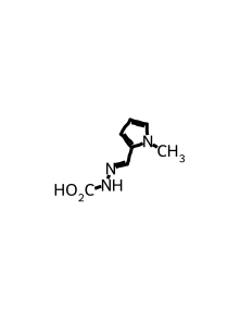 Cn1cccc1C=NNC(=O)O